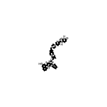 CCc1cccc2cc(O)cc(-c3ncc4c(N5CC6CCC(C5)N6)nc(OCC5(CN6CCC7(CC6)CC(CN6CCN(c8ccc(C(=O)NC9CCC(=O)NC9=O)nc8)CC6)C7)CC5)nc4c3F)c12